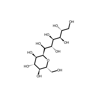 OC[C@@H](O)[C@@H](O)[C@H](O)[C@H](O)C(O)[C@H]1O[C@H](CO)[C@@H](O)[C@H](O)[C@H]1O